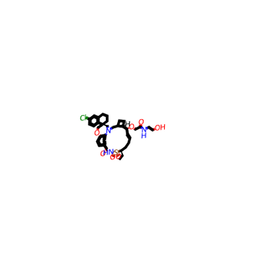 CC[C@@H]1CC/C=C/[C@H](OCC(=O)NCCO)[C@@H]2CCC2CN2C[C@@]3(CCCc4cc(Cl)ccc43)COc3ccc(cc32)C(=O)NS1(=O)=O